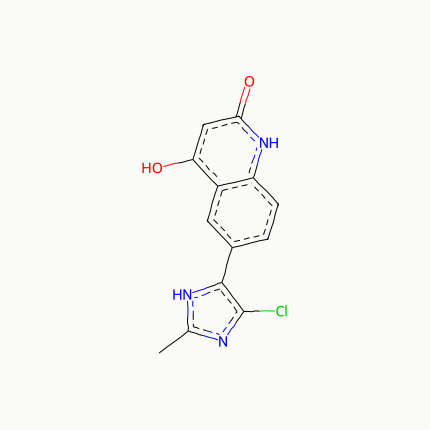 Cc1nc(Cl)c(-c2ccc3[nH]c(=O)cc(O)c3c2)[nH]1